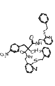 CC(Cc1ccc([N+](=O)[O-])cc1)(C(=O)NCc1cccnc1SCc1ccccc1)C(=O)NCc1cccnc1SCc1ccccc1